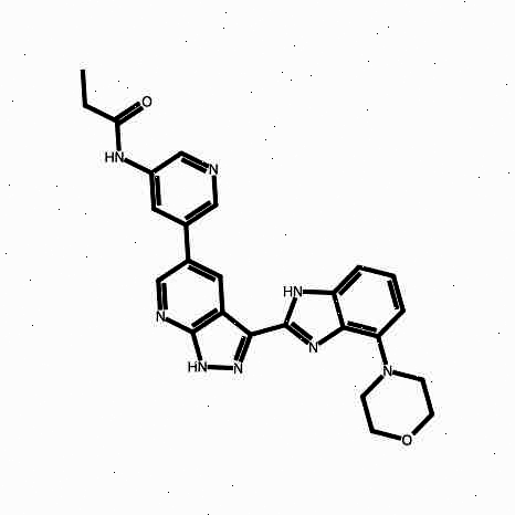 CCC(=O)Nc1cncc(-c2cnc3[nH]nc(-c4nc5c(N6CCOCC6)cccc5[nH]4)c3c2)c1